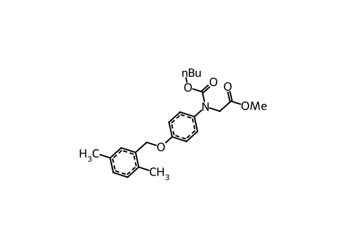 CCCCOC(=O)N(CC(=O)OC)c1ccc(OCc2cc(C)ccc2C)cc1